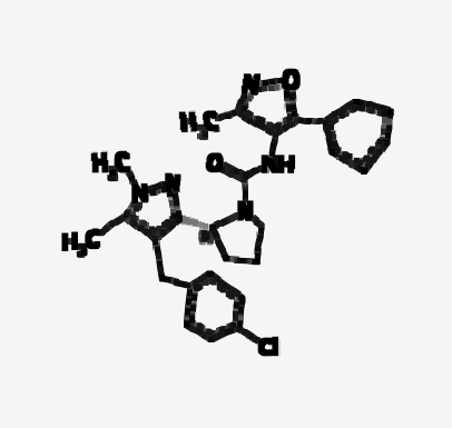 Cc1noc(-c2ccccc2)c1NC(=O)N1CCC[C@@H]1c1nn(C)c(C)c1Cc1ccc(Cl)cc1